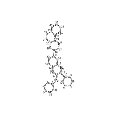 c1ccc(-n2c3ccccc3c3nc4cc(-c5ccc6c(ccc7ccccc76)c5)ccc4nc32)cc1